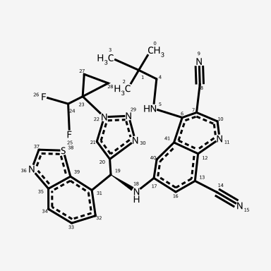 CC(C)(C)CNc1c(C#N)cnc2c(C#N)cc(N[C@H](c3cn(C4(C(F)F)CC4)nn3)c3cccc4ncsc34)cc12